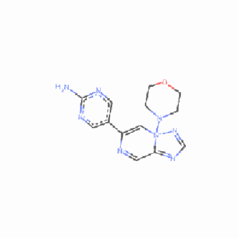 Nc1ncc(C2=C[N+]3(N4CCOCC4)N=CN=C3C=N2)cn1